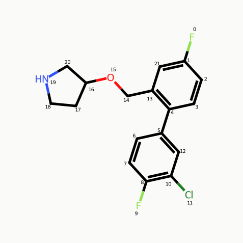 Fc1ccc(-c2ccc(F)c(Cl)c2)c(COC2CCNC2)c1